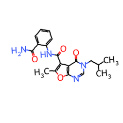 Cc1oc2ncn(CC(C)C)c(=O)c2c1C(=O)Nc1ccccc1C(N)=O